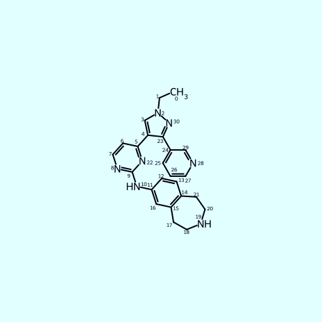 CCn1cc(-c2ccnc(Nc3ccc4c(c3)CCNCC4)n2)c(-c2cccnc2)n1